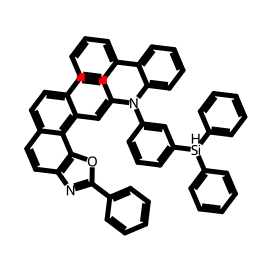 c1ccc(-c2nc3ccc4ccc5ccc(N(c6cccc([SiH](c7ccccc7)c7ccccc7)c6)c6ccccc6-c6ccccc6)cc5c4c3o2)cc1